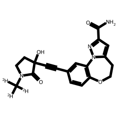 [2H]C([2H])([2H])N1CCC(O)(C#Cc2ccc3c(c2)-n2nc(C(N)=O)cc2CCO3)C1=O